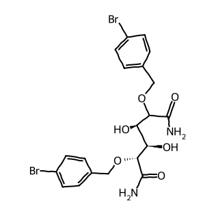 NC(=O)C(OCc1ccc(Br)cc1)[C@H](O)[C@@H](O)[C@@H](OCc1ccc(Br)cc1)C(N)=O